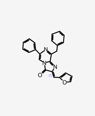 O=C1/C(=C/c2ccco2)N=C2C(Cc3ccccc3)=NC(c3ccccc3)=CN12